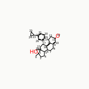 CC1(O)CCC2C3CCC4=CC(=O)CCC4=C3[C@@H](c3cccc(C4CC4)c3)CC21C